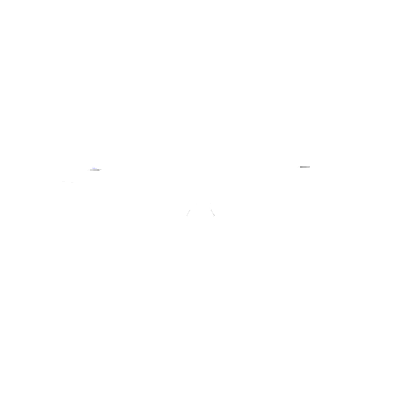 CCCCCCCC/C=C\CCCCCCCC(=O)CC(C)C(=O)CCCCCCC/C=C\CCCCCCCC